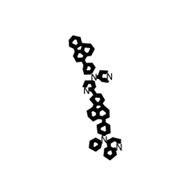 c1ccc(N(c2ccc(-c3ccc4c5c(cccc35)-c3cc(-c5cc(N(c6ccncc6)c6ccc(-c7ccc8c9c(cccc79)-c7ccccc7-8)cc6)ccn5)ccc3-4)cc2)c2ccnc3ccccc23)cc1